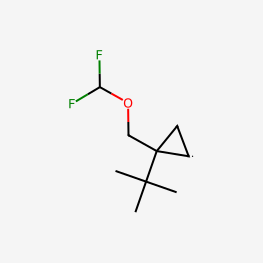 CC(C)(C)C1(COC(F)F)[CH]C1